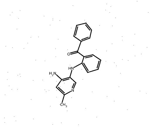 Cc1cc(N)c(Nc2ccccc2C(=O)c2ccccc2)cn1